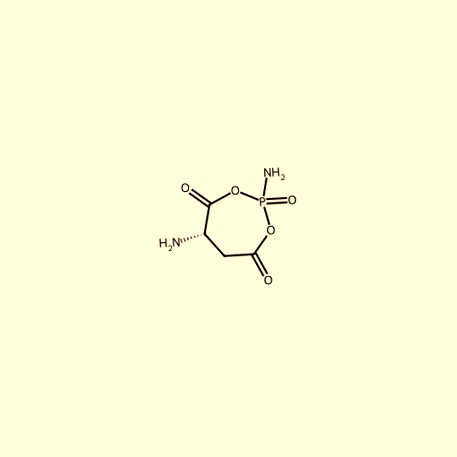 N[C@H]1CC(=O)OP(N)(=O)OC1=O